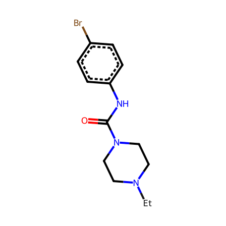 CCN1CCN(C(=O)Nc2ccc(Br)cc2)CC1